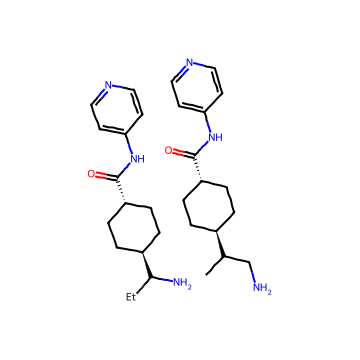 CC(CN)[C@H]1CC[C@H](C(=O)Nc2ccncc2)CC1.CCC(N)[C@H]1CC[C@H](C(=O)Nc2ccncc2)CC1